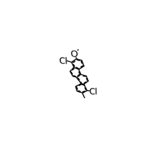 COc1ccc2c(ccc3c4ccc(C)c(Cl)c4ccc23)c1Cl